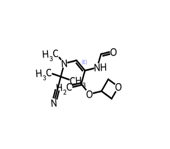 C=C(OC1COC1)/C(=C\N(C)C(C)(C)C#N)NC=O